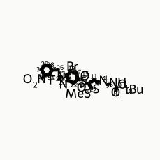 CSc1sc(/N=C/NC(=O)OC(C)(C)C)cc1S(=O)(=O)c1cc(Br)c2c(c1)ncn2Cc1cccc([N+](=O)[O-])c1F